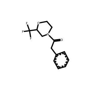 O=C(Cc1c[c]ccc1)N1CCOC(C(F)(F)F)C1